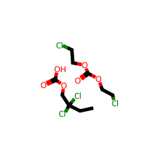 CCC(Cl)(Cl)COC(=O)O.O=C(OCCCl)OCCCl